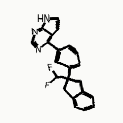 FC(F)C1(c2cccc(-c3ncnc4[nH]ccc34)c2)Cc2ccccc2C1